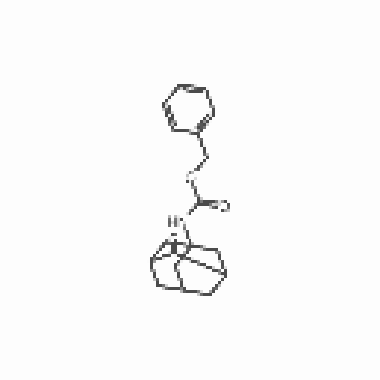 O=C(NC12CC3CC(C1)C(=S)C(C3)C2)OCc1ccccc1